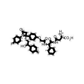 N[C@@H](CC(=O)NC(=O)[C@H](NC(=O)COc1ccc([C@]2(SCC(O)c3ccc(F)cc3)CC(=O)N2c2ccc(F)cc2)cc1)c1ccccc1)C(=O)O